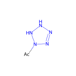 CC(=O)N1N=NNN1